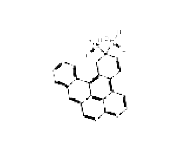 O=S(=O)(O)C1(S(=O)(=O)O)C=Cc2c(c3c4ccccc4cc4ccc5cccc2c5c43)C1